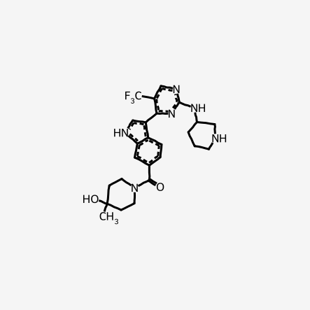 CC1(O)CCN(C(=O)c2ccc3c(-c4nc(NC5CCCNC5)ncc4C(F)(F)F)c[nH]c3c2)CC1